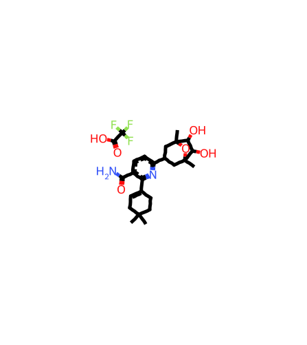 CC1(C)CC=C(c2nc(C3CC4(C)OC(C)(C3)C(O)C4O)ccc2C(N)=O)CC1.O=C(O)C(F)(F)F